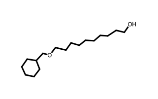 OCCCCCCCCCCOCC1CCCCC1